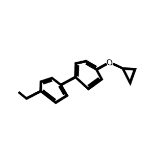 CCc1ccc(-c2ccc(OC3CC3)cc2)cc1